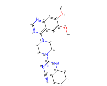 COc1cc2ncnc(N3CCN(/C(=N/C#N)NC4CCCCC4)CC3)c2cc1OC